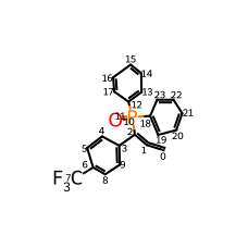 C=C=C(c1ccc(C(F)(F)F)cc1)P(=O)(c1ccccc1)c1ccccc1